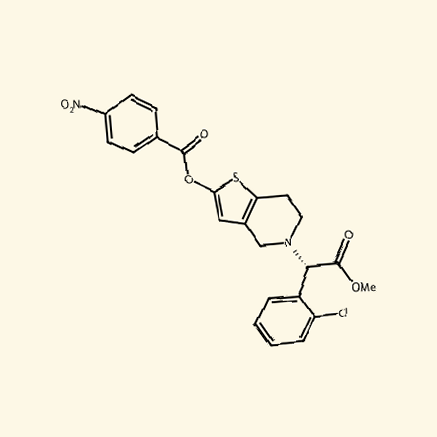 COC(=O)[C@H](c1ccccc1Cl)N1CCc2sc(OC(=O)c3ccc([N+](=O)[O-])cc3)cc2C1